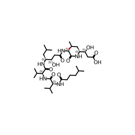 CC(C)CCCC(=O)N[C@H](C(=O)N[C@H](C(=O)N[C@@H](CC(C)C)[C@@H](O)CC(=O)N[C@@H](C)C(=O)N[C@@H](CC(C)C)[C@@H](O)CC(=O)O)C(C)C)C(C)C